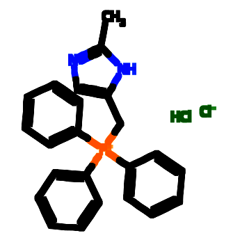 Cc1ncc(C[P+](c2ccccc2)(c2ccccc2)c2ccccc2)[nH]1.Cl.[Cl-]